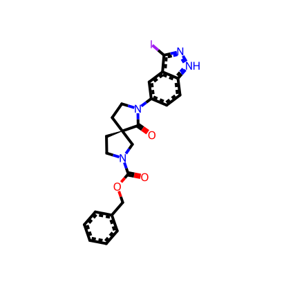 O=C(OCc1ccccc1)N1CC[C@]2(CCN(c3ccc4[nH]nc(I)c4c3)C2=O)C1